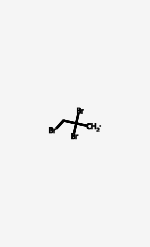 [CH2]C(Br)(Br)CBr